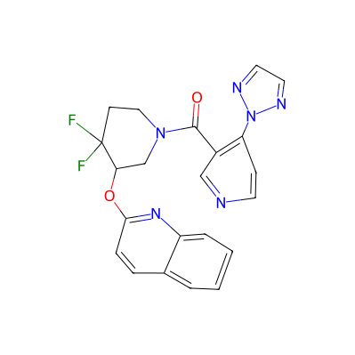 O=C(c1cnccc1-n1nccn1)N1CCC(F)(F)C(Oc2ccc3ccccc3n2)C1